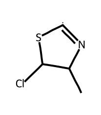 CC1N=[C]SC1Cl